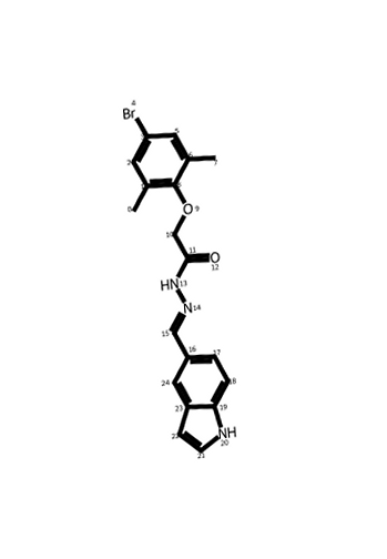 Cc1cc(Br)cc(C)c1OCC(=O)NN=Cc1ccc2[nH]ccc2c1